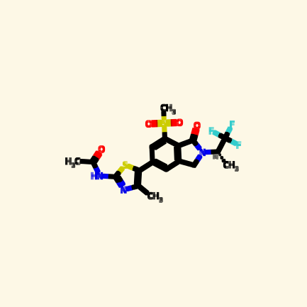 CC(=O)Nc1nc(C)c(-c2cc3c(c(S(C)(=O)=O)c2)C(=O)N([C@@H](C)C(F)(F)F)C3)s1